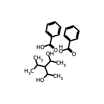 CC(C)C(C(C)O)C(C)O.O=C(O)c1ccccc1.O=C(O)c1ccccc1